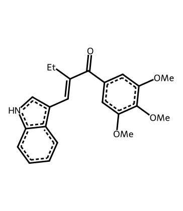 CC/C(=C\c1c[nH]c2ccccc12)C(=O)c1cc(OC)c(OC)c(OC)c1